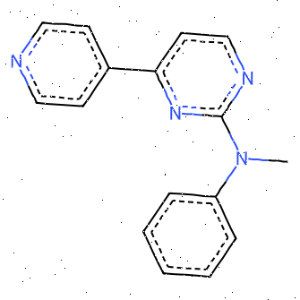 CN(c1ccccc1)c1nccc(-c2ccncc2)n1